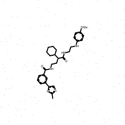 COc1ccc(NCCNC(=O)C(CCNC(=O)c2cccc(-c3csc(C)n3)c2)C2CCCCC2)cc1